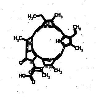 C=Cc1c2[nH]c(c1C)C=C1N=C(C3=C4NC(C=c5[nH]c(c(C)c5CC)=C2)C(C)=C4C(=O)[C@@H]3C(=O)OC)[C@@H](CCC(=O)O)[C@@H]1C